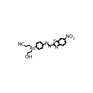 N#CCC[As](CCO)c1ccc(N=Nc2nc3ccc([N+](=O)[O-])cc3s2)cc1